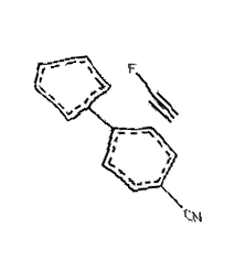 C#CF.N#Cc1ccc(-c2ccccc2)cc1